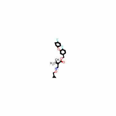 CC1(C)C(/C=N/OCC2CC2)C1C(=O)OCc1ccc(F)c(Oc2ccc(F)cc2)c1